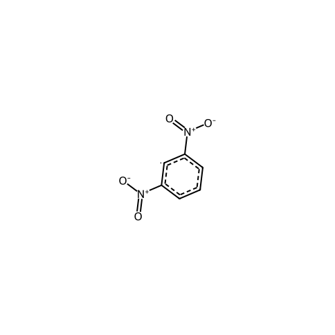 O=[N+]([O-])c1[c]c([N+](=O)[O-])ccc1